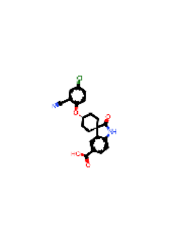 N#Cc1cc(Cl)ccc1O[C@H]1CC[C@@]2(CC1)C(=O)Nc1ccc(C(=O)O)cc12